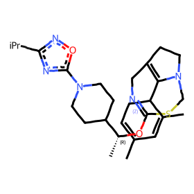 CC1=CCC(C2=C3CCN2CS/C(O[C@H](C)C2CCN(c4nc(C(C)C)no4)CC2)=N\C3)C(C)=C1